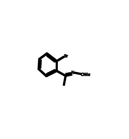 CON=C(C)c1ccccc1Br